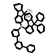 CC1(C)c2ccccc2-c2ccc(N(c3cccc(-c4cccc(-c5ccccc5)c4)c3)c3cccc4c3-c3ccccc3C4(c3ccccc3)c3ccccc3)cc21